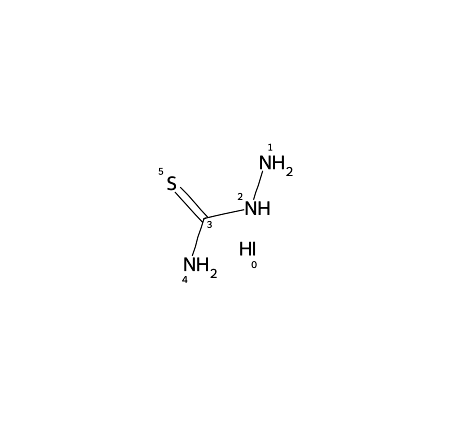 I.NNC(N)=S